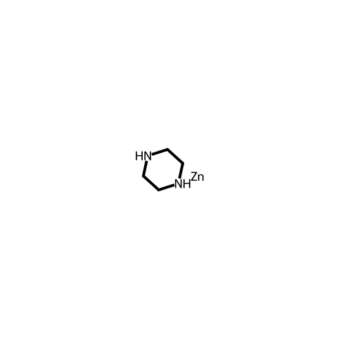 C1CNCCN1.[Zn]